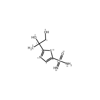 CC(O)(CO)c1ncc(S(=N)(N)=O)s1